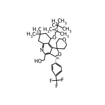 CC1(C)Cc2nc(CO)c3c(c2C(O[Si](C)(C)C(C)(C)C)C1)C1(CCOCC1)O[C@@H]3c1ccc(C(F)(F)F)cc1